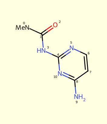 CNC(=O)Nc1nccc(N)n1